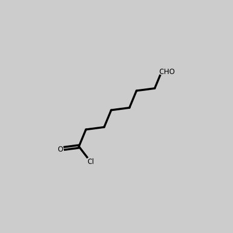 O=CCCCCCCC(=O)Cl